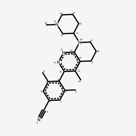 Cc1cc(C#N)cc(C)c1-c1nnc2c(c1C)CCCN2C1CCCN(C)C1